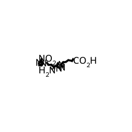 N[C@@H](CCCn1ccnc1[N+](=O)[O-])c1cn(CCCCCC(=O)O)nn1